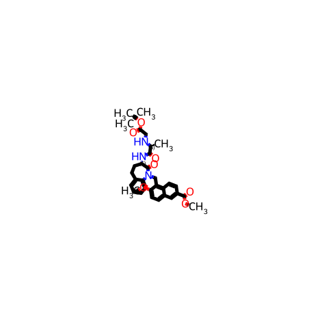 COC(=O)c1ccc2c(CN3C(=O)[C@@H](NC(=O)[C@H](C)NCC(=O)OC(C)(C)C)CCc4ccccc43)c(OC)ccc2c1